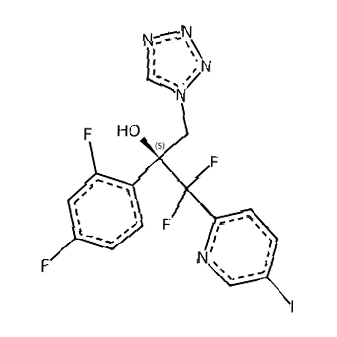 O[C@](Cn1cnnn1)(c1ccc(F)cc1F)C(F)(F)c1ccc(I)cn1